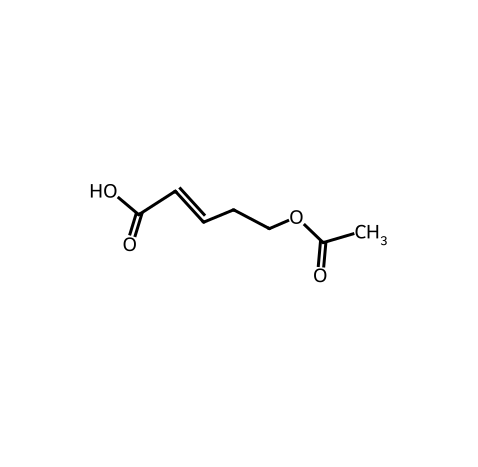 CC(=O)OCCC=CC(=O)O